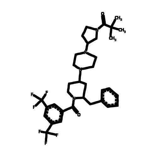 CC(C)(C)C(=O)N1CCC(N2CCN(C3CCN(C(=O)c4cc(C(F)(F)F)cc(C(F)(F)F)c4)C(Cc4ccccc4)C3)CC2)C1